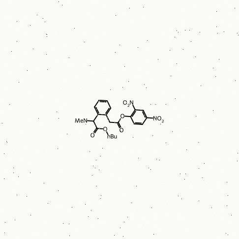 CCCCOC(=O)C(NC)c1ccccc1CC(=O)Oc1ccc([N+](=O)[O-])cc1[N+](=O)[O-]